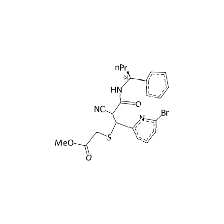 CCC[C@H](NC(=O)C(C#N)C(SCC(=O)OC)c1cccc(Br)n1)c1ccccc1